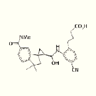 CNC(=O)c1ccc2c(c1)[C@@]1(C[C@H]1C(O)Nc1cc(C#N)ccc1CCCC(=O)O)CC2(C)C